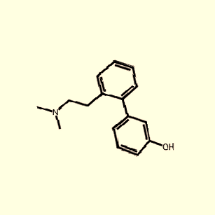 CN(C)CCc1ccccc1-c1cccc(O)c1